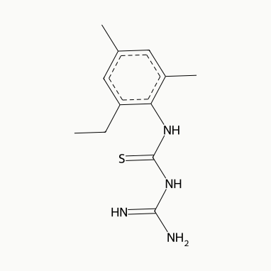 CCc1cc(C)cc(C)c1NC(=S)NC(=N)N